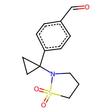 O=Cc1ccc(C2(N3CCCS3(=O)=O)CC2)cc1